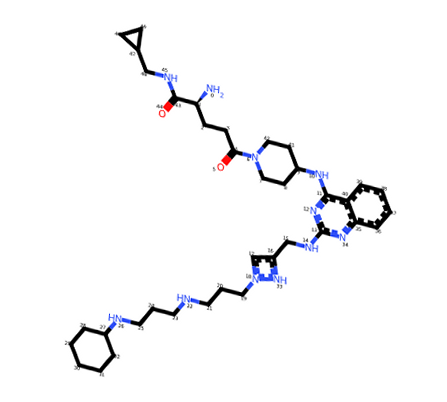 N[C@@H](CCC(=O)N1CCC(Nc2nc(NCc3cn(CCCNCCCNC4CCCCC4)[nH]3)nc3ccccc23)CC1)C(=O)NCC1CC1